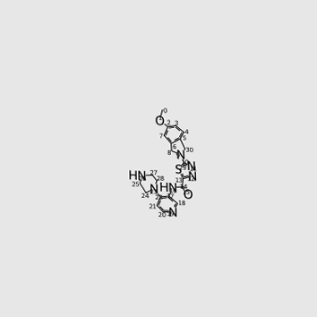 COc1ccc2c(c1)CN(c1nnc(C(=O)Nc3cnccc3N3CCNCC3)s1)C2